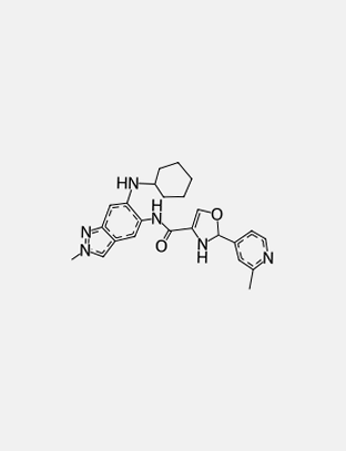 Cc1cc(C2NC(C(=O)Nc3cc4cn(C)nc4cc3NC3CCCCC3)=CO2)ccn1